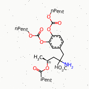 CCCCCOC(=O)Oc1ccc(CC(N)(C[C@H](C)OC(=O)C(C)CCC)C(=O)O)cc1OC(=O)OCCCCC